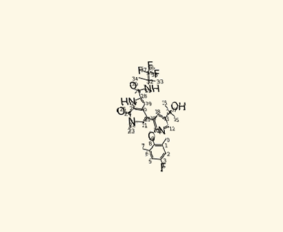 Cc1cc(F)cc(C)c1Oc1ncc(C(C)(C)O)cc1-c1cn(C)c(=O)c2[nH]c(C(=O)NC(C)(C)C(F)(F)F)cc12